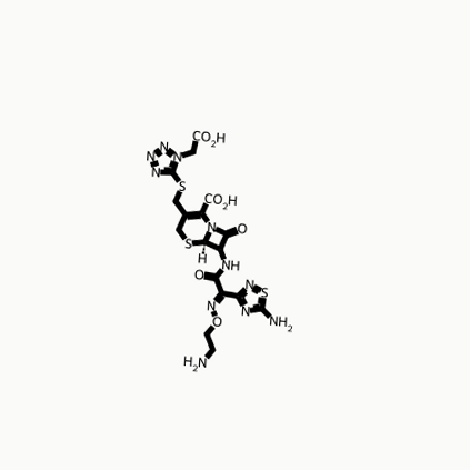 NCCO/N=C(/C(=O)NC1C(=O)N2C(C(=O)O)=C(CSc3nnnn3CC(=O)O)CS[C@H]12)c1nsc(N)n1